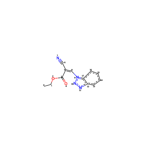 CCOC(=O)C(C#N)=Cn1nnc2ccccc21